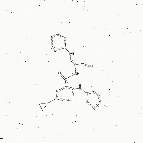 N=C/C(=C\Nc1ccccn1)NC(=O)c1nc(C2CC2)ccc1Nc1cncnc1